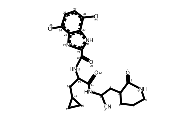 N#CC(CC1CCCNC1=O)NC(=O)C(CC1CC1)NC(=O)c1nc2c(Cl)ccc(Cl)c2[nH]1